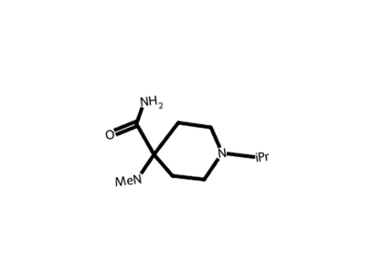 CNC1(C(N)=O)CCN(C(C)C)CC1